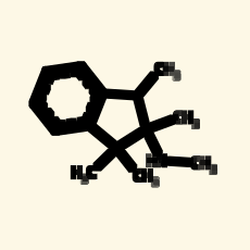 CNC1(C)C(C)c2ccccc2C1(C)C